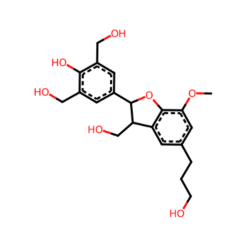 COc1cc(CCCO)cc2c1OC(c1cc(CO)c(O)c(CO)c1)C2CO